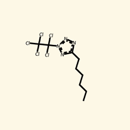 CCCCCCc1nnn(C(Cl)(Cl)C(Cl)(Cl)Cl)n1